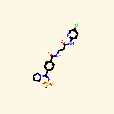 CS(=O)(=O)N=C(c1ccc(C(=O)NCCC(=O)Nc2ccc(Cl)cn2)cc1)N1CCCC1